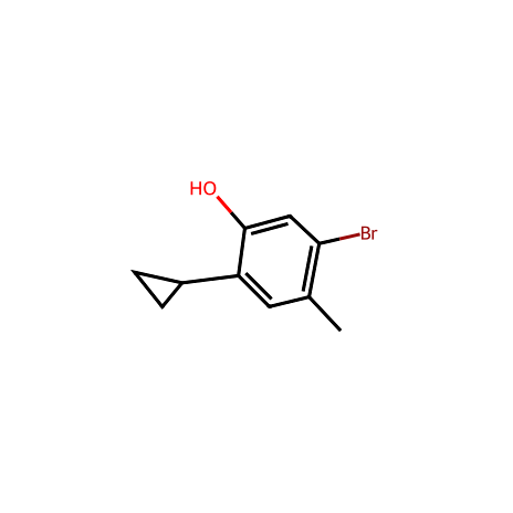 Cc1cc(C2CC2)c(O)cc1Br